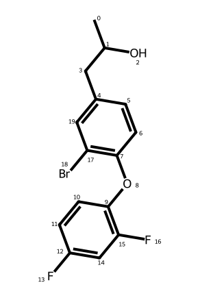 CC(O)Cc1ccc(Oc2ccc(F)cc2F)c(Br)c1